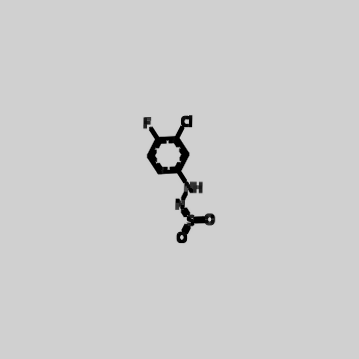 O=S(=O)=NNc1ccc(F)c(Cl)c1